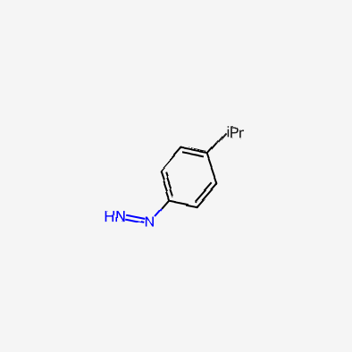 CC(C)c1ccc(N=N)cc1